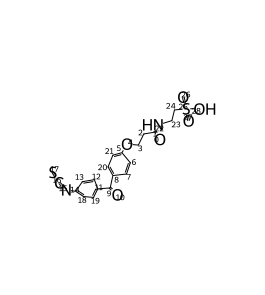 O=C(CCOc1ccc(C(=O)c2ccc(N=C=S)cc2)cc1)NCCS(=O)(=O)O